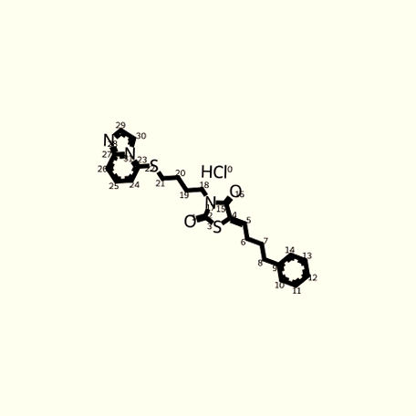 Cl.O=C1SC(=CCCCc2ccccc2)C(=O)N1CCCCSc1cccc2nccn12